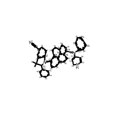 CC1(C)c2cc(C#N)ccc2N(c2ccc3ccc4c(N(C5=CCNC=C5)c5ccccc5)ccc5ccc2c3c54)C1c1ccccc1